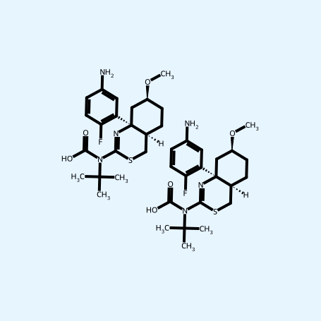 CO[C@H]1CC[C@H]2CSC(N(C(=O)O)C(C)(C)C)=N[C@@]2(c2cc(N)ccc2F)C1.CO[C@H]1CC[C@H]2CSC(N(C(=O)O)C(C)(C)C)=N[C@@]2(c2cc(N)ccc2F)C1